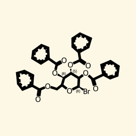 O=C(OCC1O[C@H](Br)C(OC(=O)c2ccccc2)[C@@H](OC(=O)c2ccccc2)[C@@H]1OC(=O)c1ccccc1)c1ccccc1